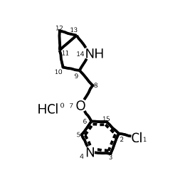 Cl.Clc1cncc(OCC2CC3CC3N2)c1